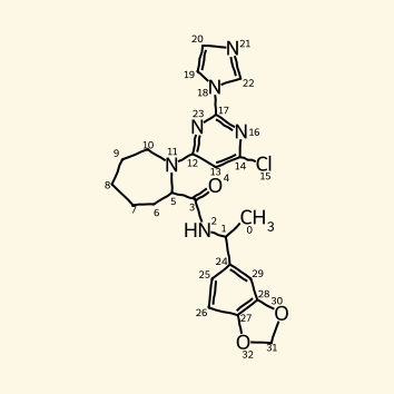 CC(NC(=O)C1CCCCCN1c1cc(Cl)nc(-n2ccnc2)n1)c1ccc2c(c1)OCO2